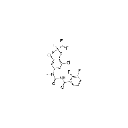 CN(C(=O)NC(=O)c1cccc(F)c1F)c1cc(Cl)c(SC(F)(F)C(F)F)c(Cl)c1